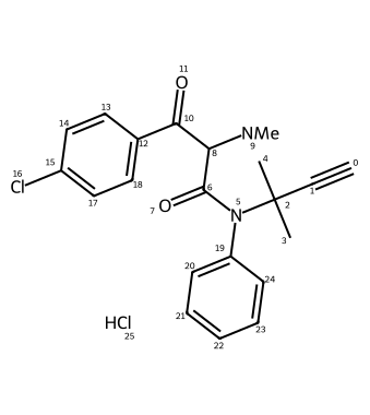 C#CC(C)(C)N(C(=O)C(NC)C(=O)c1ccc(Cl)cc1)c1ccccc1.Cl